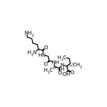 CC[C@H](C)[C@H](NC(=O)[C@H](C)NC(=O)CNC(=O)[C@@H](N)CCCCN)C(=O)O